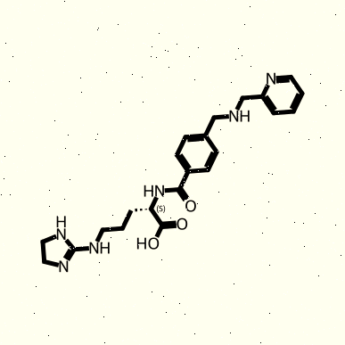 O=C(N[C@@H](CCCNC1=NCCN1)C(=O)O)c1ccc(CNCc2ccccn2)cc1